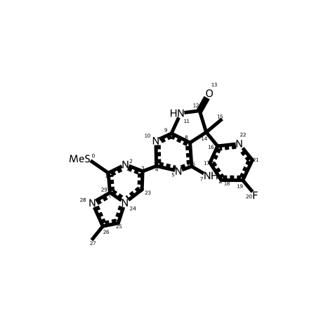 CSc1nc(-c2nc(N)c3c(n2)NC(=O)C3(C)c2ccc(F)cn2)cn2cc(C)nc12